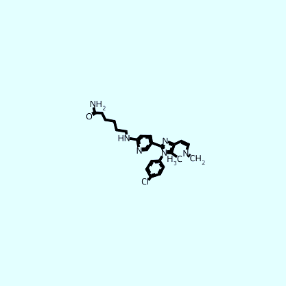 C=N/C=C\c1nc(-c2ccc(NCCCCCC(N)=O)nc2)n(-c2ccc(Cl)cc2)c1C